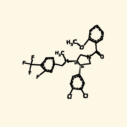 COc1ccccc1C(=O)N1C[C@H](c2ccc(Cl)c(Cl)c2)[C@@H](N(C)Cc2ccc(C(F)(F)F)c(F)c2)C1